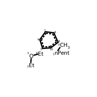 CCCCCC.CCOCC.c1ccccc1